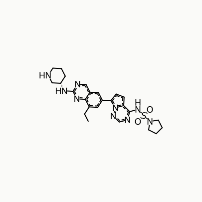 CCc1cc(-c2ccc3c(NS(=O)(=O)N4CCCC4)ncnn23)cc2cnc(N[C@H]3CCCNC3)nc12